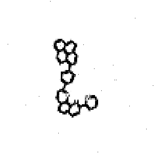 c1ccc(-c2ccc3ccc4ccc(-c5ccc(-c6ccc7ccc8cccc9ccc6c7c89)cc5)nc4c3n2)nc1